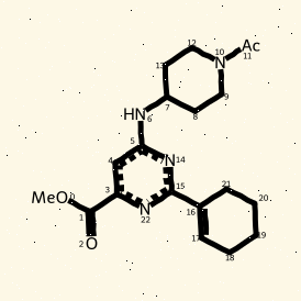 COC(=O)c1cc(NC2CCN(C(C)=O)CC2)nc(C2=CCCCC2)n1